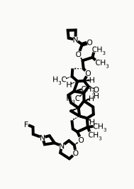 CC(C)[C@@H](OC(=O)N1CCC1)[C@H]1C[C@@H](C)[C@H]2[C@H](O1)[C@H](O)[C@@]1(C)[C@@H]3CC[C@H]4C(C)(C)C(O[C@H]5CN(C6CN(CCF)C6)CCO5)CC[C@@]45C[C@@]35CC[C@]21C